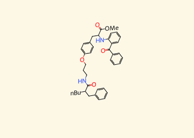 CCCCC(Cc1ccccc1)C(=O)NCCCOc1ccc(CC(Nc2ccccc2C(=O)c2ccccc2)C(=O)OC)cc1